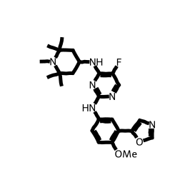 COc1ccc(Nc2ncc(F)c(NC3CC(C)(C)N(C)C(C)(C)C3)n2)cc1-c1cnco1